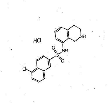 Cl.O=S(=O)(Nc1cccc2c1CNCC2)c1ccc2c(Cl)cccc2c1